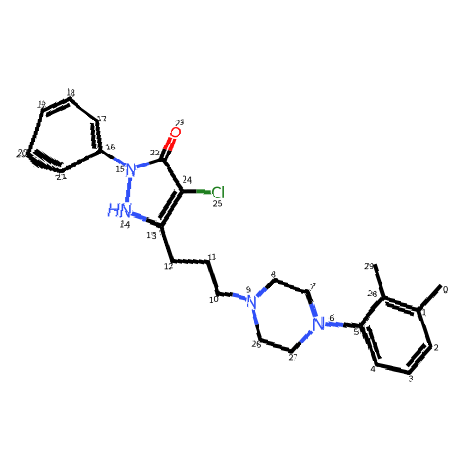 Cc1cccc(N2CCN(CCCc3[nH]n(-c4ccccc4)c(=O)c3Cl)CC2)c1C